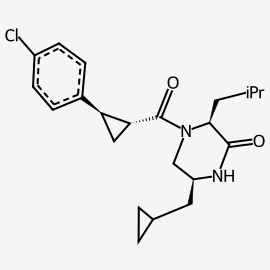 CC(C)C[C@H]1C(=O)N[C@@H](CC2CC2)CN1C(=O)[C@@H]1C[C@H]1c1ccc(Cl)cc1